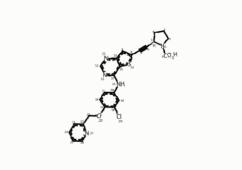 O=C(O)N1CCC[C@@H]1C#Cc1cc2ncnc(Nc3ccc(OCc4ccccn4)c(Cl)c3)c2s1